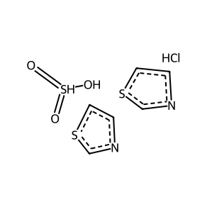 Cl.O=[SH](=O)O.c1cscn1.c1cscn1